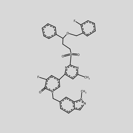 Cc1cc(-c2cc(F)c(=O)n(Cc3ccc4cnn(C)c4c3)c2)nc(S(=O)(=O)CCC(OCc2ccccc2F)c2ccccc2)n1